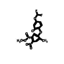 CO[PH](=O)c1cc(Oc2ccc(OC(F)F)cc2Cl)c(C)cc1[N+](=O)[O-]